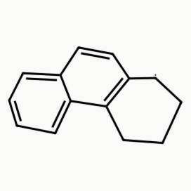 [CH]1CCCc2c1ccc1ccccc21